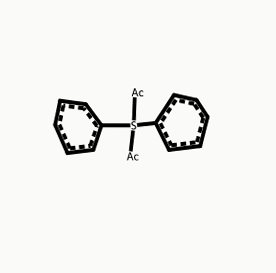 CC(=O)S(C(C)=O)(c1ccccc1)c1ccccc1